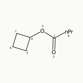 CCCC(=O)OC1[CH]CC1